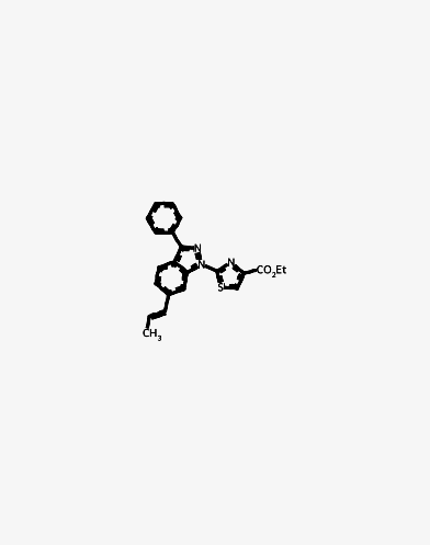 C/C=C/c1ccc2c(-c3ccccc3)nn(-c3nc(C(=O)OCC)cs3)c2c1